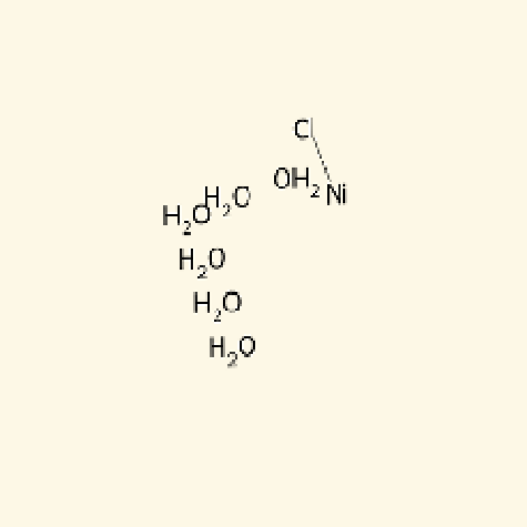 O.O.O.O.O.O.[Cl][Ni]